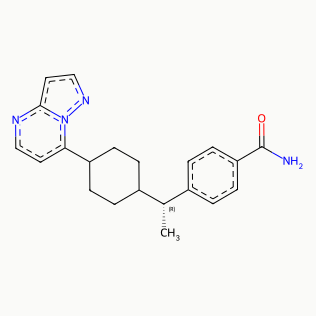 C[C@@H](c1ccc(C(N)=O)cc1)C1CCC(c2ccnc3ccnn23)CC1